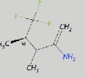 C=C(N)C(C)[C@@H](C)C(F)(F)F